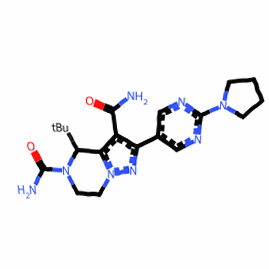 CC(C)(C)C1c2c(C(N)=O)c(-c3cnc(N4CCCC4)nc3)nn2CCN1C(N)=O